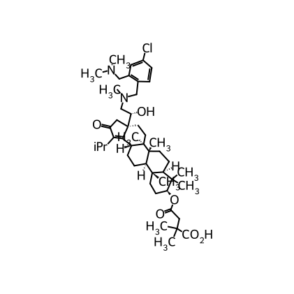 CC(C)C1=C2[C@H]3CC[C@@H]4[C@@]5(C)CC[C@H](OC(=O)CC(C)(C)C(=O)O)C(C)(C)[C@@H]5CC[C@@]4(C)[C@]3(C)CC[C@@]2([C@@H](O)CN(C)Cc2ccc(Cl)cc2CN(C)C)CC1=O